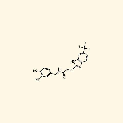 O=C(CSc1nc2ccc(C(F)(F)F)cc2[nH]1)NCc1ccc(O)c(O)c1